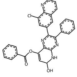 O=C(OC1=CC(O)Nc2nc(-c3ccccc3)c(-c3cc(Cl)c4ncccc4c3)nc21)c1ccccc1